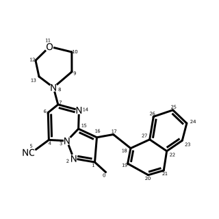 Cc1nn2c(C#N)cc(N3CCOCC3)nc2c1Cc1cccc2ccccc12